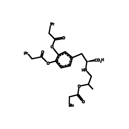 CCC(C)CC(=O)OC(C)CN[C@@H](Cc1ccc(OC(=O)CC(C)C)c(OC(=O)CC(C)C)c1)C(=O)O